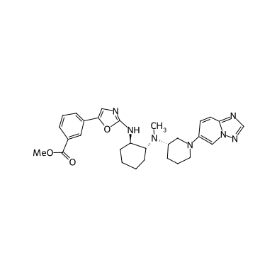 COC(=O)c1cccc(-c2cnc(N[C@@H]3CCCC[C@H]3N(C)[C@H]3CCCN(c4ccc5ncnn5c4)C3)o2)c1